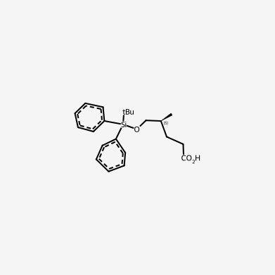 C[C@@H](CCC(=O)O)CO[Si](c1ccccc1)(c1ccccc1)C(C)(C)C